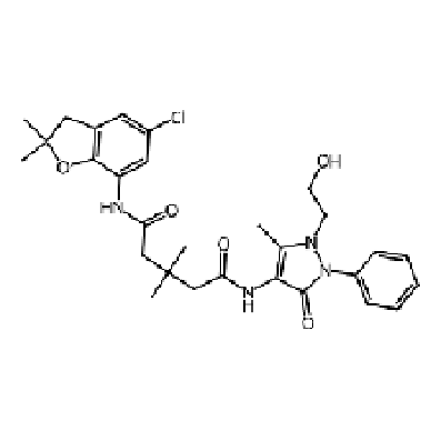 Cc1c(NC(=O)CC(C)(C)CC(=O)Nc2cc(Cl)cc3c2OC(C)(C)C3)c(=O)n(-c2ccccc2)n1CCO